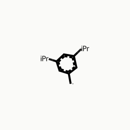 [CH2]c1cc(C(C)C)cc(C(C)C)c1